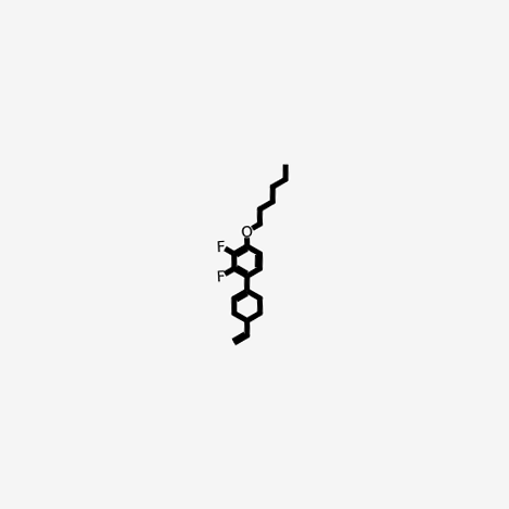 C=CC1CC=C(c2ccc(OCCCCCC)c(F)c2F)CC1